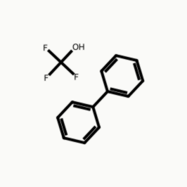 OC(F)(F)F.c1ccc(-c2ccccc2)cc1